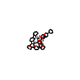 c1ccc(-c2ccc(-c3nc(-c4ccccc4)nc(-n4c5ccccc5c5ccc6c7ccccc7n(-c7cc(-c8ccccc8)cc(-c8ccccc8-c8ccc(-c9ccccc9)cc8)c7)c6c54)n3)cc2)cc1